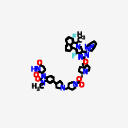 CCc1c(F)ccc2cccc(-c3ncc4c(N5CC6CCC(C5)N6)nc(OC[C@@]56CCCN5[C@H](COC(=O)N5CCC(CN7CCC(c8ccc9c(c8)n(C)c(=O)n9C8CCC(=O)NC8=O)CC7)CC5)CC6)nc4c3F)c12